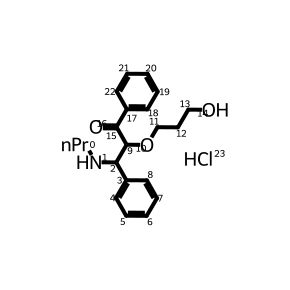 CCCNC(c1ccccc1)C(OCCCO)C(=O)c1ccccc1.Cl